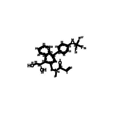 C=CC(=O)N(C)Cc1cc(-c2ccc(OC(F)(F)F)cc2)c2ncccc2c1[C@H](O)CO